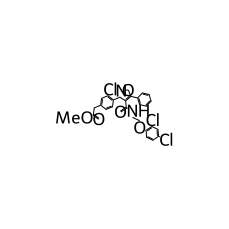 COC(=O)Cc1ccc(-c2noc(-c3ccccc3)c2C(=O)NCCOc2ccc(Cl)cc2Cl)c(Cl)c1